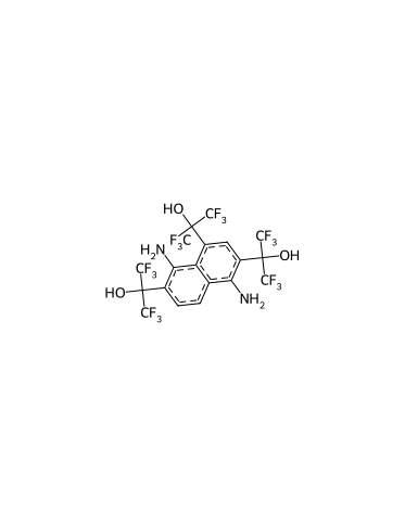 Nc1c(C(O)(C(F)(F)F)C(F)(F)F)cc(C(O)(C(F)(F)F)C(F)(F)F)c2c(N)c(C(O)(C(F)(F)F)C(F)(F)F)ccc12